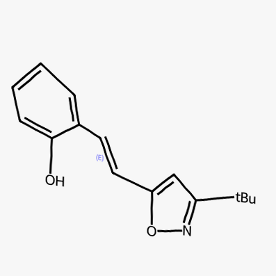 CC(C)(C)c1cc(/C=C/c2ccccc2O)on1